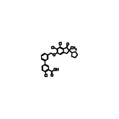 CC1(C2CCCC2)Cc2cc(OCc3cccc(-c4ccc(Cl)c(C(=O)O)c4)c3)c(Cl)c(Cl)c2C1=O